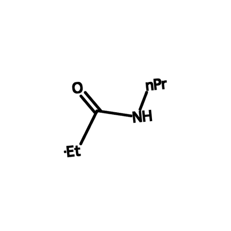 C[CH]C(=O)NCCC